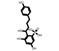 O=P(O)(O)c1cc(O)cc(O)c1C(O)CCCc1ccc(O)cc1